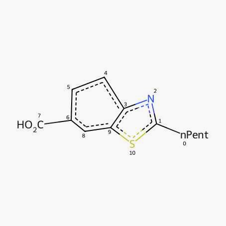 CCCCCc1nc2ccc(C(=O)O)cc2s1